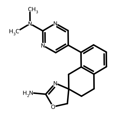 CN(C)c1ncc(-c2cccc3c2CC2(CC3)COC(N)=N2)cn1